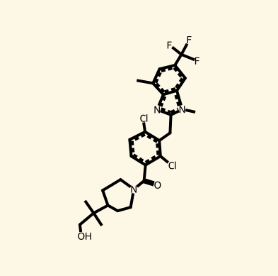 Cc1cc(C(F)(F)F)cc2c1nc(Cc1c(Cl)ccc(C(=O)N3CCC(C(C)(C)CO)CC3)c1Cl)n2C